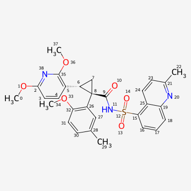 COc1ccc([C@@H]2C[C@]2(C(=O)NS(=O)(=O)c2cccc3nc(C)ccc23)c2cc(C)ccc2OC)c(OC)n1